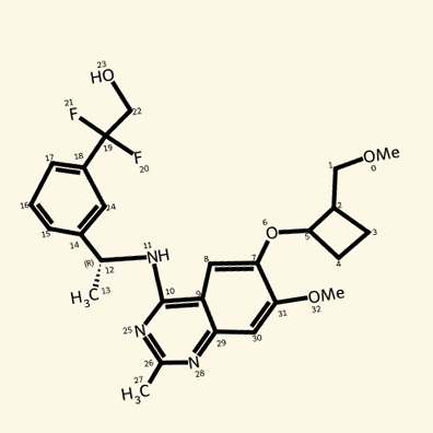 COCC1CCC1Oc1cc2c(N[C@H](C)c3cccc(C(F)(F)CO)c3)nc(C)nc2cc1OC